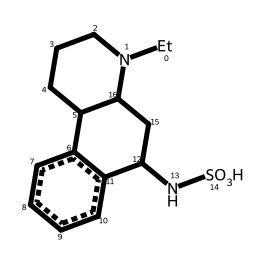 CCN1CCCC2c3ccccc3C(NS(=O)(=O)O)CC21